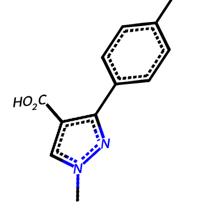 Cc1ccc(-c2nn(C)cc2C(=O)O)cc1